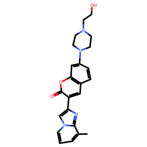 Cc1cccn2cc(-c3cc4ccc(N5CCN(CCO)CC5)cc4oc3=O)nc12